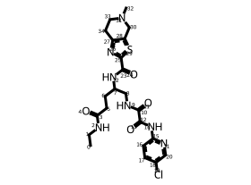 CCNC(=O)CCC(CNC(=O)C(=O)Nc1ccc(Cl)cn1)NC(=O)c1nc2c(s1)CN(C)CC2